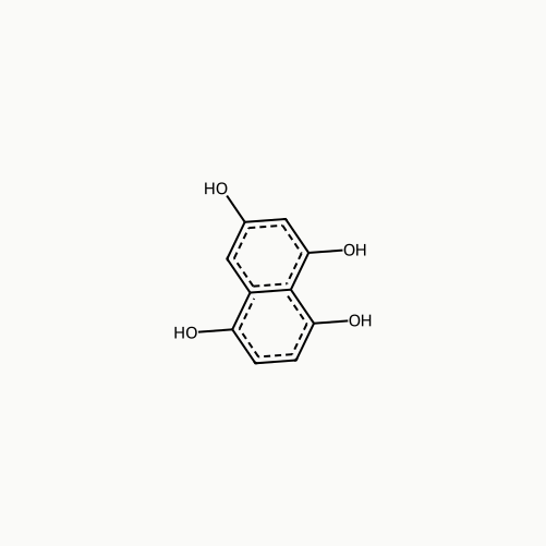 Oc1cc(O)c2c(O)ccc(O)c2c1